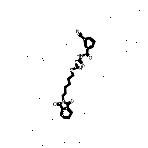 N#Cc1cccc(C(=O)Nc2nnc(SCCCCCCN3C(=O)c4ccccc4C3=O)s2)c1